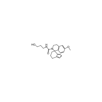 COc1ccc2c(c1)CCN(C(=O)NCCCO)C21CCCc2ccccc21